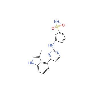 Cc1c[nH]c2cccc(-c3ccnc(Nc4cccc(S(N)(=O)=O)c4)n3)c12